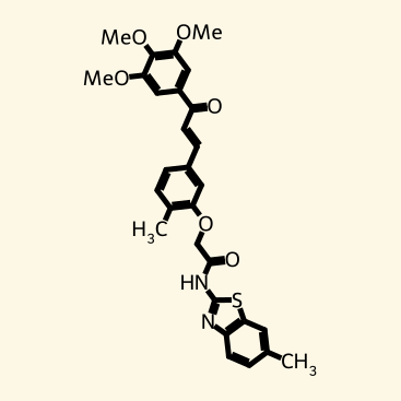 COc1cc(C(=O)/C=C/c2ccc(C)c(OCC(=O)Nc3nc4ccc(C)cc4s3)c2)cc(OC)c1OC